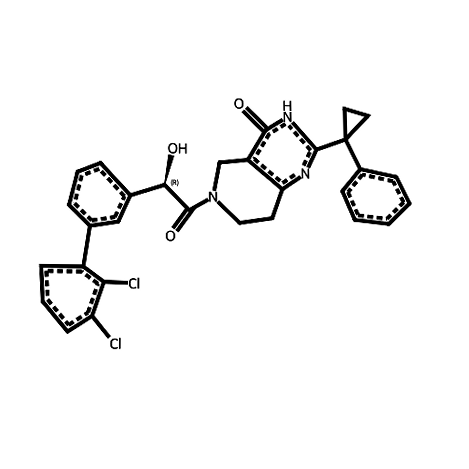 O=C([C@H](O)c1cccc(-c2cccc(Cl)c2Cl)c1)N1CCc2nc(C3(c4ccccc4)CC3)[nH]c(=O)c2C1